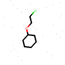 ClCCOC1CCCCC1